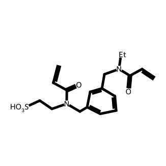 C=CC(=O)N(CC)Cc1cccc(CN(CCS(=O)(=O)O)C(=O)C=C)c1